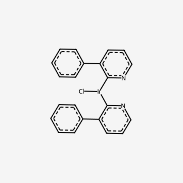 [Cl][Ir]([c]1ncccc1-c1ccccc1)[c]1ncccc1-c1ccccc1